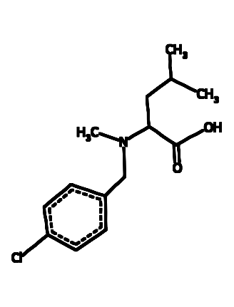 CC(C)CC(C(=O)O)N(C)Cc1ccc(Cl)cc1